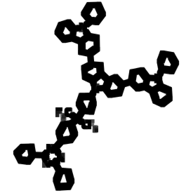 FC(F)(F)C(c1ccc(-c2nc(-c3ccccc3)nc(-c3ccccc3)n2)cc1)(c1ccc(-n2c3ccc(-c4ccc5c(c4)c4ccccc4n5-c4ccccc4)cc3c3cc(-c4ccc5c(c4)c4ccccc4n5-c4ccccc4)ccc32)cc1)C(F)(F)F